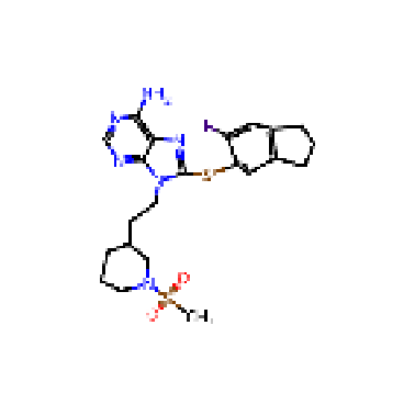 CS(=O)(=O)N1CCCC(CCn2c(Sc3cc4c(cc3I)CCC4)nc3c(N)ncnc32)C1